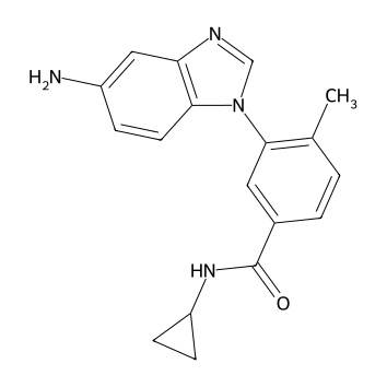 Cc1ccc(C(=O)NC2CC2)cc1-n1cnc2cc(N)ccc21